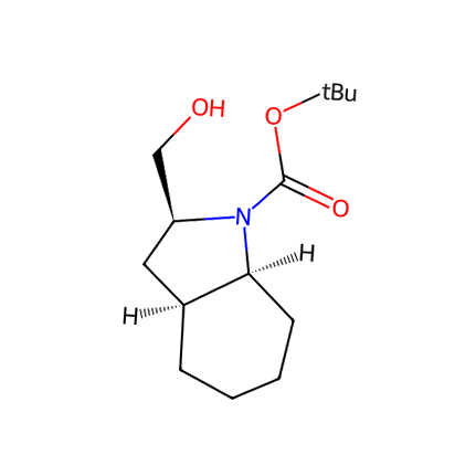 CC(C)(C)OC(=O)N1[C@H](CO)C[C@@H]2CCCC[C@@H]21